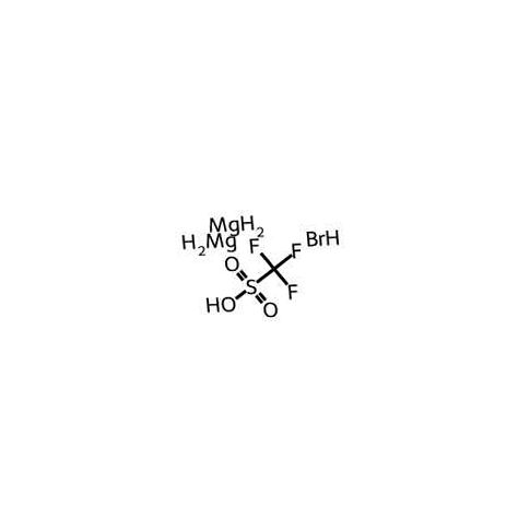 Br.O=S(=O)(O)C(F)(F)F.[MgH2].[MgH2]